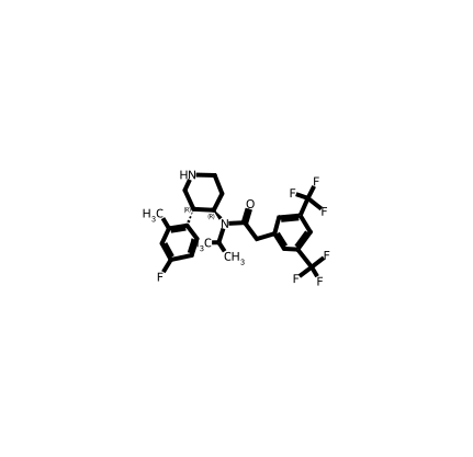 Cc1cc(F)ccc1[C@@H]1CNCC[C@H]1N(C(=O)Cc1cc(C(F)(F)F)cc(C(F)(F)F)c1)C(C)C